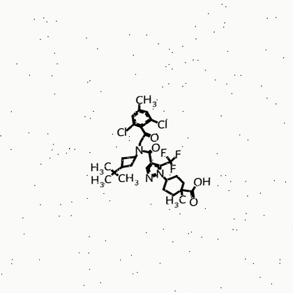 Cc1cc(Cl)c(C(=O)CN(C(=O)c2cnn(C3CCC(C)(C(=O)O)CC3)c2C(F)(F)F)C2CC(C(C)(C)C)C2)c(Cl)c1